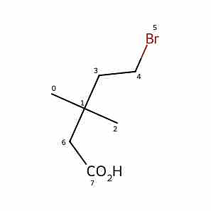 CC(C)(CCBr)CC(=O)O